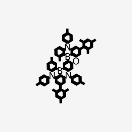 Cc1ccc(N2c3cccc(C)c3B3c4cc5c(cc4Oc4cc(-c6c(C)cc(C)cc6C)cc2c43)N(c2ccc(C)cc2)c2cc(-c3c(C)cc(C)cc3C)cc3c2B5c2cc(C)ccc2N3c2ccc(C)cc2)cc1